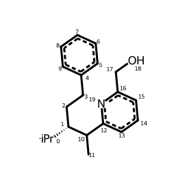 C[C](C)[C@H](CCc1ccccc1)C(C)c1cccc(CO)n1